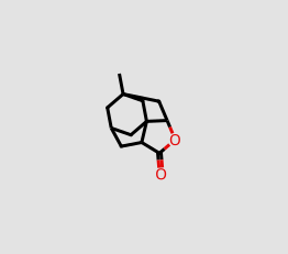 CC12CC3CC4C(=O)OC(C1)C4(C3)C2